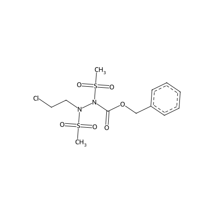 CS(=O)(=O)N(CCCl)N(C(=O)OCc1ccccc1)S(C)(=O)=O